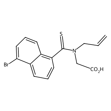 C=CCN(CC(=O)O)C(=S)c1cccc2c(Br)cccc12